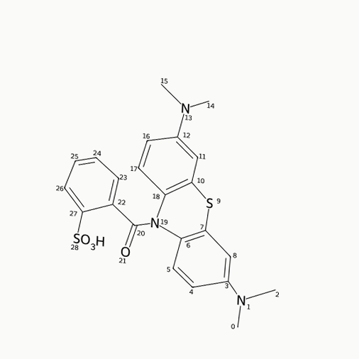 CN(C)c1ccc2c(c1)Sc1cc(N(C)C)ccc1N2C(=O)c1ccccc1S(=O)(=O)O